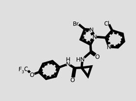 O=C(NC1(C(=O)Nc2ccc(OC(F)(F)F)cc2)CC1)c1cc(Br)nn1-c1ncccc1Cl